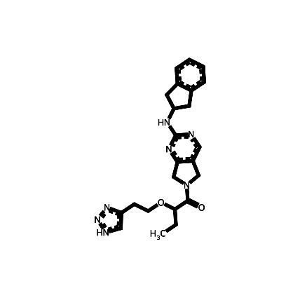 CCC(OCCc1c[nH]nn1)C(=O)N1Cc2cnc(NC3Cc4ccccc4C3)nc2C1